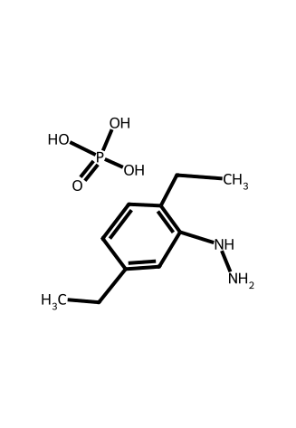 CCc1ccc(CC)c(NN)c1.O=P(O)(O)O